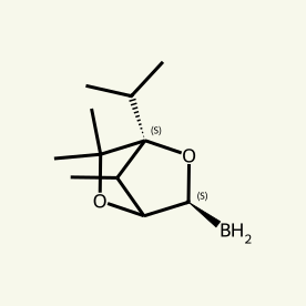 B[C@@H]1O[C@@]2(C(C)C)C(C)C1OC2(C)C